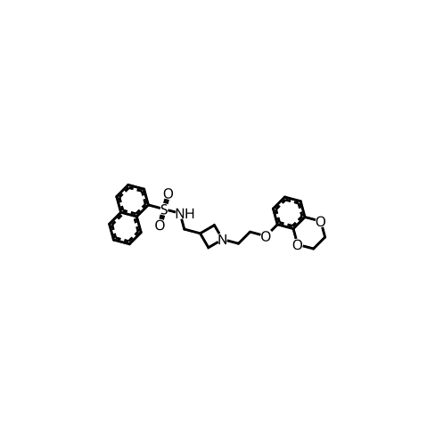 O=S(=O)(NCC1CN(CCOc2cccc3c2OCCO3)C1)c1cccc2ccccc12